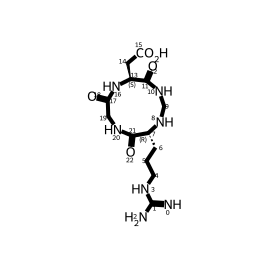 N=C(N)NCCC[C@H]1NCNC(=O)[C@H](CC(=O)O)NC(=O)CNC1=O